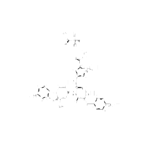 COC(=O)c1cc(NC(=O)N(C(=O)[C@@H](N)Cc2ccc(O)cc2)[C@H]2CCC[N+](C)(Cc3cccc(O)c3)C2)cn1C.O=C([O-])C(F)(F)F